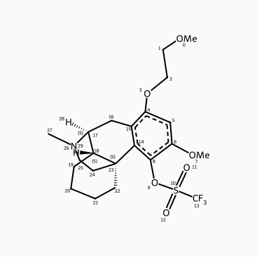 COCCOc1cc(OC)c(OS(=O)(=O)C(F)(F)F)c2c1C[C@H]1[C@H]3CCCC[C@@]23CCN1C